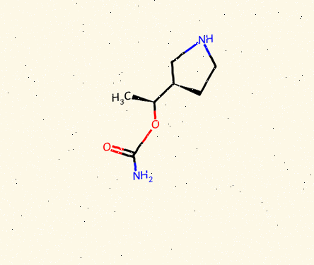 C[C@H](OC(N)=O)[C@@H]1CCNC1